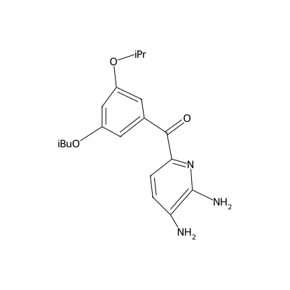 CC(C)COc1cc(OC(C)C)cc(C(=O)c2ccc(N)c(N)n2)c1